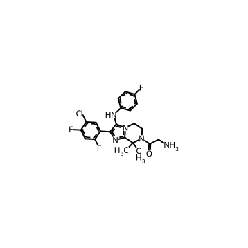 CC1(C)c2nc(-c3cc(Cl)c(F)cc3F)c(Nc3ccc(F)cc3)n2CCN1C(=O)CN